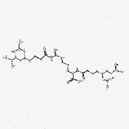 N=C(NCCCC(NC(=O)CCCC(CON(O)O)ON(O)O)C(=O)O)NC(=O)CCCC(CON(O)O)ON(O)O